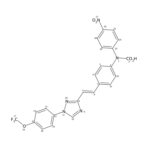 O=C(O)N(c1ccc(/C=C/c2ncn(-c3ccc(OC(F)(F)F)cc3)n2)cc1)c1ccc([N+](=O)[O-])cc1